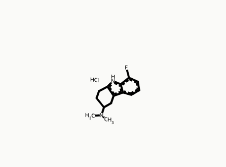 CN(C)C1CCc2[nH]c3c(F)cccc3c2C1.Cl